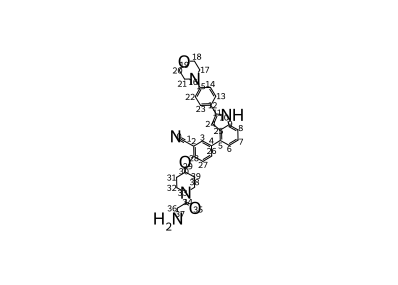 N#Cc1cc(-c2cccc3[nH]c(-c4ccc(N5CCOCC5)cc4)cc23)ccc1OC1CCN(C(=O)CN)CC1